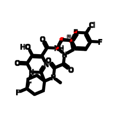 CN(C(=O)C(=O)N1CC[C@@H](F)C1)C12CCC(F)(CC1)Cn1c2nc(C(=O)NCc2ccc(F)c(Cl)c2)c(O)c1=O